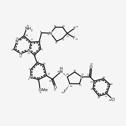 COc1ncc(-c2cc(CN3CCC(F)(F)CC3)c3c(N)ncnn23)cc1C(=O)N[C@@H]1CN(C(=O)c2ccc(Cl)cc2)C[C@@H]1F